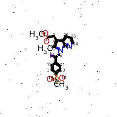 COC(=O)Cc1c(C)n(CC(I)c2ccc(S(C)(=O)=O)cc2)c2ncccc12